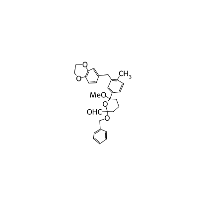 COC1(c2ccc(C)c(Cc3ccc4c(c3)OCCO4)c2)CCCC(C=O)(OCc2ccccc2)O1